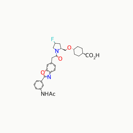 CC(=O)Nc1cccc(-c2nc3ccc(CC(=O)N4C[C@@H](F)C[C@H]4CO[C@H]4CC[C@H](C(=O)O)CC4)cc3o2)c1